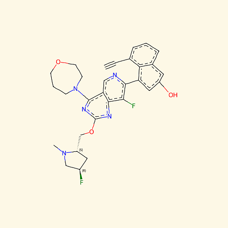 C#Cc1cccc2cc(O)cc(-c3ncc4c(N5CCCOCC5)nc(OC[C@@H]5C[C@@H](F)CN5C)nc4c3F)c12